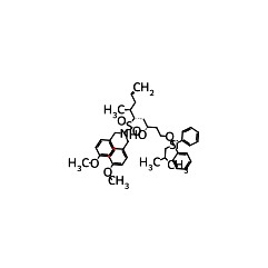 C=CC[C@H](C)[C@H](C[C@@H](O)CCO[Si](CC(C)C)(c1ccccc1)c1ccccc1)S(=O)(=O)N(Cc1ccc(OC)cc1)Cc1ccc(OC)cc1